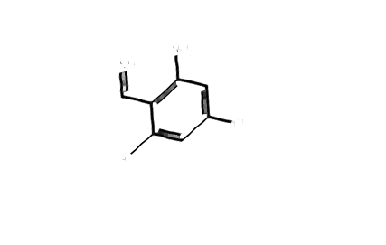 N=Cc1c(N)cc(Cl)cc1Br